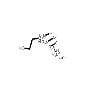 N.O.O=[N+]([O-])[O-].O=[N+]([O-])[O-].O=[N+]([O-])[O-].OCCO.[Gd+3]